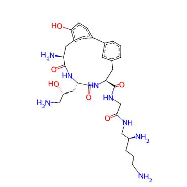 NCCC[C@H](N)CNC(=O)CNC(=O)[C@@H]1Cc2cccc(c2)-c2ccc(O)c(c2)C[C@H](N)C(=O)N[C@@H](C[C@@H](O)CN)C(=O)N1